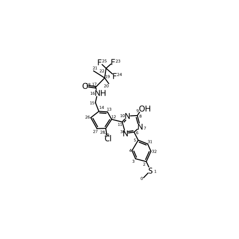 CSc1ccc(-c2nc(O)nc(-c3cc(CNC(=O)C(C)(C)C(F)(F)F)ccc3Cl)n2)cc1